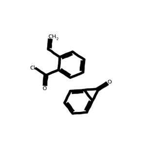 C=Cc1ccccc1C(=O)Cl.O=c1c2ccccc12